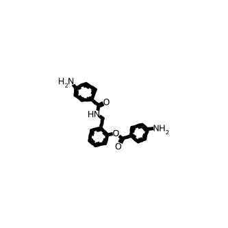 Nc1ccc(C(=O)NCc2ccccc2OC(=O)c2ccc(N)cc2)cc1